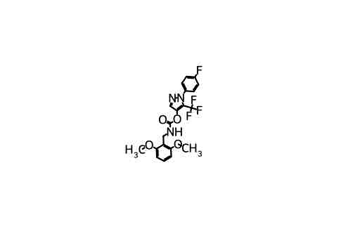 COc1cccc(OC)c1CNC(=O)Oc1cnn(-c2ccc(F)cc2)c1C(F)(F)F